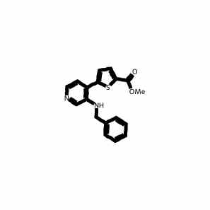 COC(=O)c1ccc(-c2ccncc2NCc2ccccc2)s1